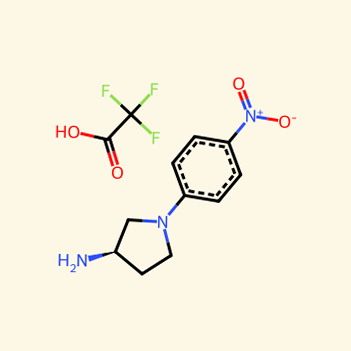 N[C@@H]1CCN(c2ccc([N+](=O)[O-])cc2)C1.O=C(O)C(F)(F)F